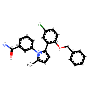 Cc1ccc(-c2cc(Cl)ccc2OCc2ccccc2)n1-c1cccc(C(N)=O)c1